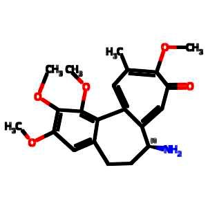 COc1cc2c(c(OC)c1OC)-c1cc(C)c(OC)c(=O)cc1[C@@H](N)CC2